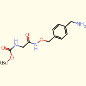 CC(C)(C)OC(=O)NCC(=O)NOCc1ccc(CN)cc1